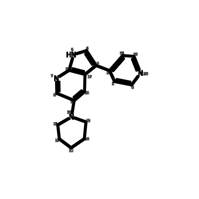 c1cc(-c2c[nH]c3ncc(N4CCCCC4)cc23)ccn1